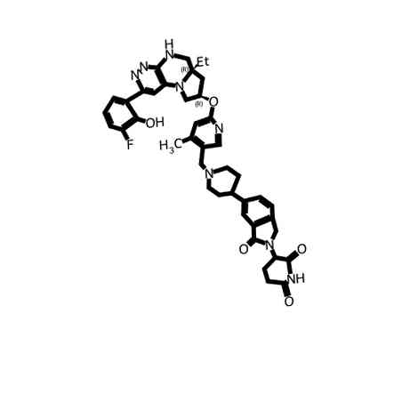 CC[C@@]12CNc3nnc(-c4cccc(F)c4O)cc3N1C[C@H](Oc1cc(C)c(CN3CCC(c4ccc5c(c4)C(=O)N(C4CCC(=O)NC4=O)C5)CC3)cn1)C2